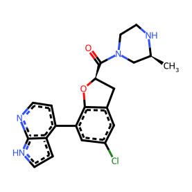 C[C@H]1CN(C(=O)[C@H]2Cc3cc(Cl)cc(-c4ccnc5[nH]ccc45)c3O2)CCN1